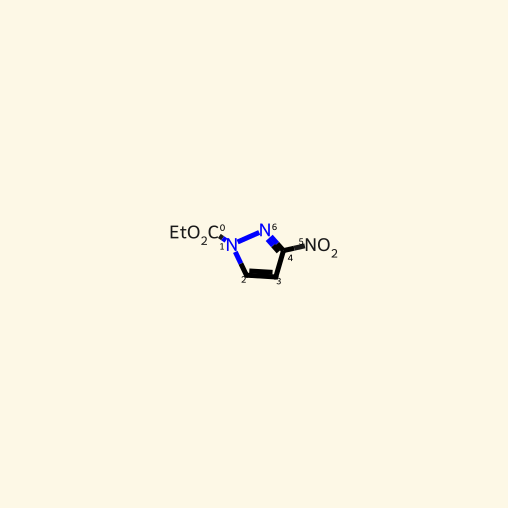 CCOC(=O)n1ccc([N+](=O)[O-])n1